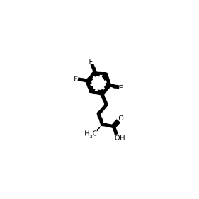 C[C@H](CCc1cc(F)c(F)cc1F)C(=O)O